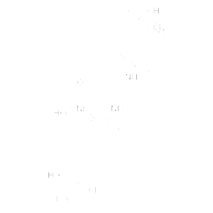 CC(C)(C)c1ccc(S(=O)(=O)NC(CNS(=O)(=O)CC23CCC(CC2=O)C3(C)C)C(=O)NO)cc1